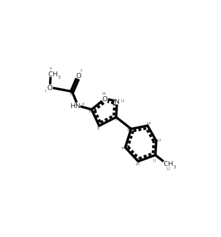 COC(=O)Nc1cc(-c2ccc(C)cc2)no1